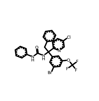 O=C(Nc1ccccc1)NC(Cc1ccccc1)(c1cc(Br)cc(OC(F)(F)F)c1)c1ccc(Cl)cn1